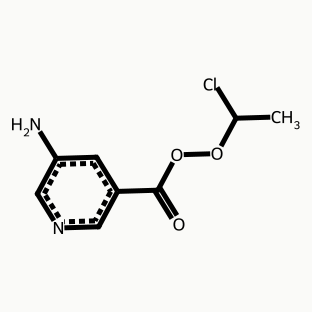 CC(Cl)OOC(=O)c1cncc(N)c1